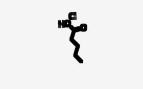 CCCCC(=O)O.[C]